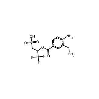 BCc1cc(C(=O)OC(CS(=O)(=O)O)C(F)(F)F)ccc1N